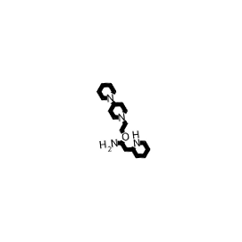 NC(CC1CCCCN1)OCCN1CCC(N2CCCCC2)CC1